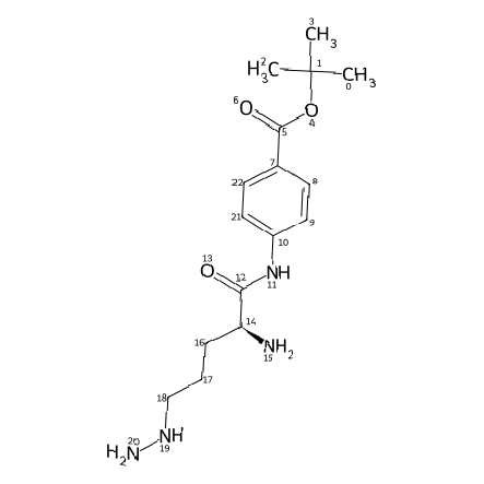 CC(C)(C)OC(=O)c1ccc(NC(=O)[C@@H](N)CCCNN)cc1